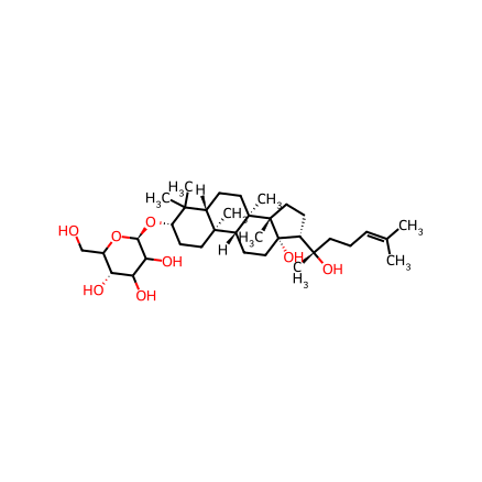 CC(C)=CCC[C@](C)(O)[C@H]1CC[C@@]2(C)[C@]3(C)CC[C@H]4C(C)(C)[C@@H](O[C@@H]5OC(CO)[C@@H](O)C(O)C5O)CC[C@]4(C)[C@H]3CC[C@]12O